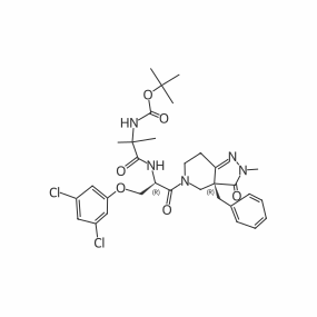 CN1N=C2CCN(C(=O)[C@@H](COc3cc(Cl)cc(Cl)c3)NC(=O)C(C)(C)NC(=O)OC(C)(C)C)C[C@@]2(Cc2ccccc2)C1=O